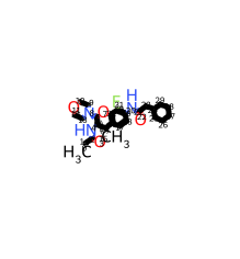 CCC(=O)N[C@@H](C(=O)N1CCOCC1)[C@@H](C)c1ccc(NC(=O)CC2CCCCC2)c(F)c1